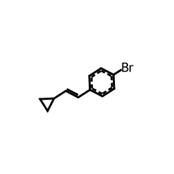 Brc1ccc(C=CC2CC2)cc1